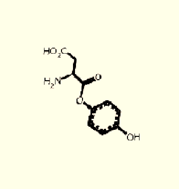 N[C@@H](CC(=O)O)C(=O)Oc1ccc(O)cc1